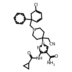 N#CCC1(n2cc(C(N)=O)c(NC(=O)C3CC3)n2)CCN(CC2(c3ccccc3)C=CC=C(Cl)C2)CC1